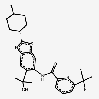 CC(C)(O)c1cc2nc([C@H]3CC[C@H](C)CC3)sc2cc1NC(=O)c1cccc(C(C)(F)F)n1